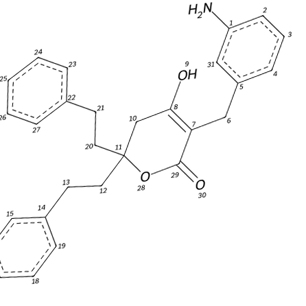 Nc1cccc(CC2=C(O)CC(CCc3ccccc3)(CCc3ccccc3)OC2=O)c1